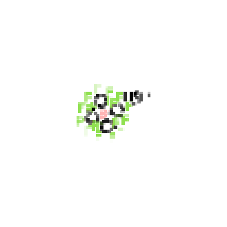 CC[SiH](CC)CC.Fc1c(F)c(F)c([B-](c2c(F)c(F)c(F)c(F)c2F)(c2c(F)c(F)c(F)c(F)c2F)c2c(F)c(F)c(F)c(F)c2F)c(F)c1F